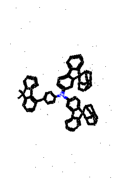 CC1(C)c2ccccc2-c2c(-c3ccc(N(c4ccc5c(c4)-c4ccccc4C54C5CC6CC(C5)CC4C6)c4ccc5c(c4)C4(c6ccccc6-5)C5CC6CC(C5)CC4C6)cc3)cccc21